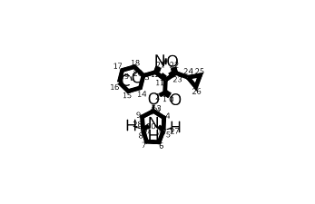 O=C(O[C@H]1C[C@H]2CC[C@@H](C1)N2)c1c(C23CCC(CC2)CC3)noc1C1CC1